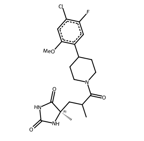 COc1cc(Cl)c(F)cc1C1CCN(C(=O)C(C)C[C@@]2(C)NC(=O)NC2=O)CC1